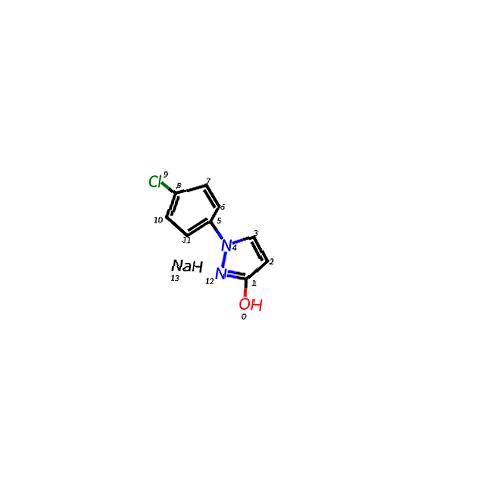 Oc1ccn(-c2ccc(Cl)cc2)n1.[NaH]